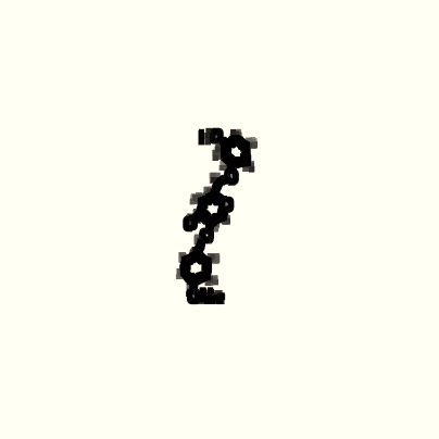 COc1ccc(COc2coc(COc3cccc(O)c3)cc2=O)cc1